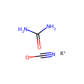 N#C[O-].NC(N)=O.[K+]